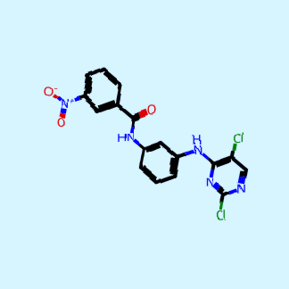 O=C(Nc1cccc(Nc2nc(Cl)ncc2Cl)c1)c1cccc([N+](=O)[O-])c1